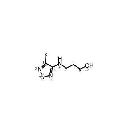 Cc1nsnc1NCCCO